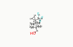 [2H]C([2H])(CO)C([2H])([2H])C1(C(F)(F)F)CC1